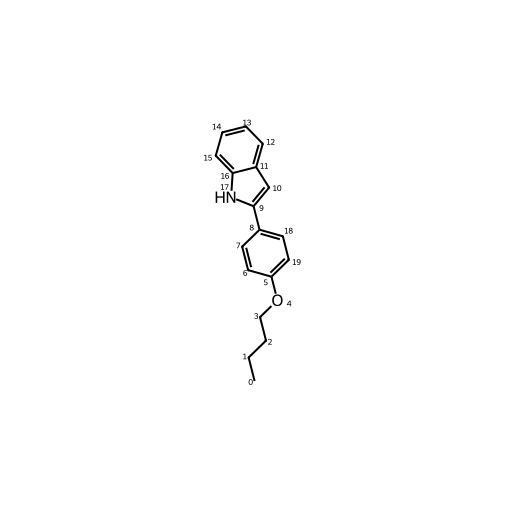 CCCCOc1ccc(-c2cc3ccccc3[nH]2)cc1